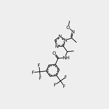 CO/N=C(/C)n1ncnc1C(C)NC(=O)c1cc(C(F)(F)F)cc(C(F)(F)F)c1